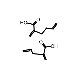 C=CCC(=C)C(=O)O.C=CCCC(=C)C(=O)O